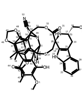 COc1c(C)cc2c(c1O)[C@H]1C3[C@@H]4SC[C@]5(N[C@H](CO)Cc6c5[nH]c5ccccc65)C(=O)OC[C@@H](c5c6c(c(C)c(OC(C)=O)c54)OCO6)N3[C@@H](C#N)[C@H]3CC2(C)N31